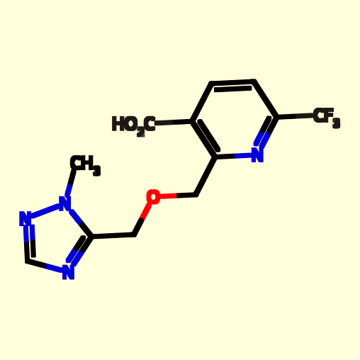 Cn1ncnc1COCc1nc(C(F)(F)F)ccc1C(=O)O